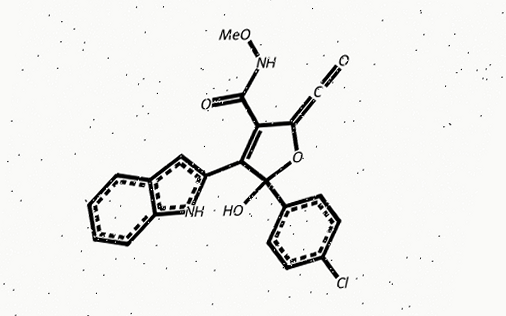 CONC(=O)C1=C(c2cc3ccccc3[nH]2)C(O)(c2ccc(Cl)cc2)OC1=C=O